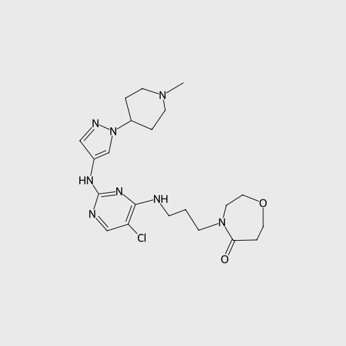 CN1CCC(n2cc(Nc3ncc(Cl)c(NCCCN4CCOCCC4=O)n3)cn2)CC1